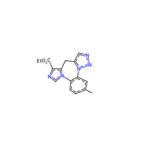 CCOC(=O)c1ncn2c1Cc1cnnn1-c1cc(C)ccc1-2